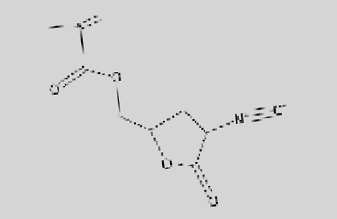 [C-]#[N+]C1CC(COC(=O)C(=C)C)OC1=O